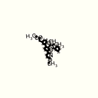 CCOC(=O)Cc1ccc(OC)c(-c2ccc(-c3ccc(OCC)nc3)cc2CN(CC)C(=O)c2ccccc2)c1